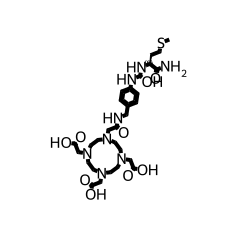 CSCC[C@H](NC(O)Nc1ccc(CNC(=O)CN2CCN(CC(=O)O)CCN(CC(=O)O)CCN(CC(=O)O)CC2)cc1)C(N)=O